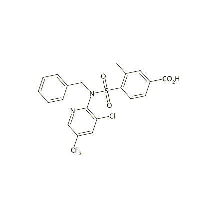 Cc1cc(C(=O)O)ccc1S(=O)(=O)N(Cc1ccccc1)c1ncc(C(F)(F)F)cc1Cl